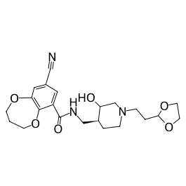 N#Cc1cc2c(c(C(=O)NC[C@@H]3CCN(CCC4OCCO4)CC3O)c1)OCCCO2